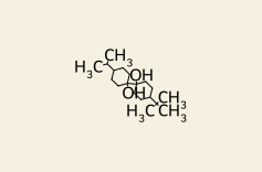 CC(C)C1CCC(O)(C2(O)CCC(C(C)(C)C)CC2)CC1